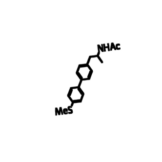 CSc1ccc(-c2ccc(CC(C)NC(C)=O)cc2)cc1